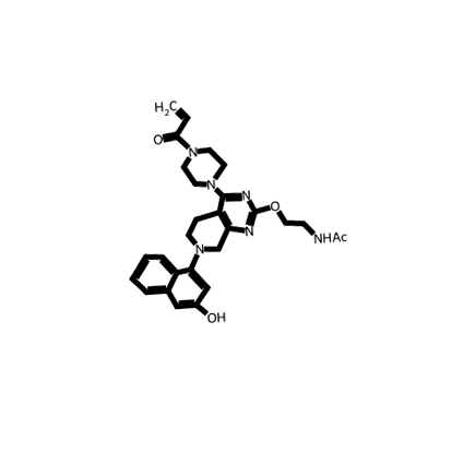 C=CC(=O)N1CCN(c2nc(OCCNC(C)=O)nc3c2CCN(c2cc(O)cc4ccccc24)C3)CC1